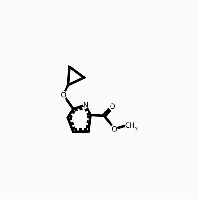 COC(=O)c1cccc(OC2CC2)n1